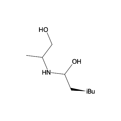 CC[C@H](C)CC(O)NC(C)CO